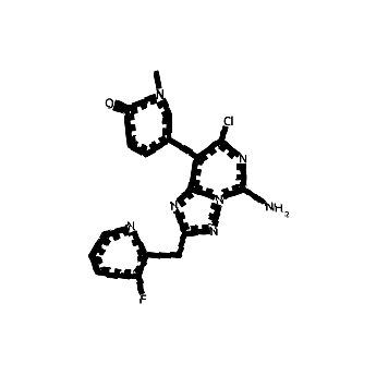 Cn1cc(-c2c(Cl)nc(N)n3nc(Cc4ncccc4F)nc23)ccc1=O